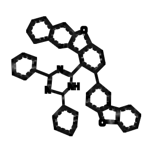 c1ccc(C2=NC(c3ccccc3)NC(c3c(-c4ccc5oc6ccccc6c5c4)ccc4oc5cc6ccccc6cc5c34)=N2)cc1